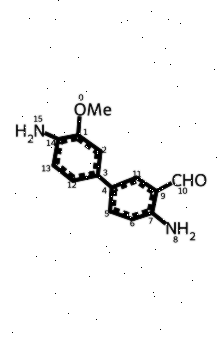 COc1cc(-c2ccc(N)c(C=O)c2)ccc1N